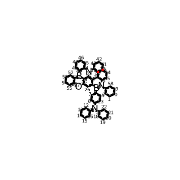 c1ccc(N2B(c3ccc(N(c4ccccc4)c4ccccc4)cc3)c3cc4c5c(c3-c3ccccc32)N(c2ccccc2)c2ccccc2B5c2ccccc2O4)cc1